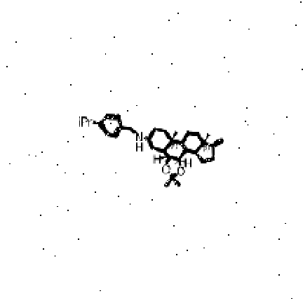 C=C1CCC2C3C(CC[C@]12C)[C@@]1(C)CC[C@@H](NCc2ccc(C(C)C)cc2)CC1[C@H]1OC(C)(C)O[C@H]31